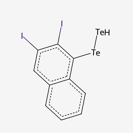 [TeH][Te]c1c(I)c(I)cc2ccccc12